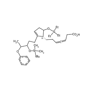 CC[Si](CC)(CC)OC1CC=C(CCC(O[Si](C)(C)C(C)(C)C)C(C)Oc2ccccc2)[C@H]1CCC=C=CCC(=O)O